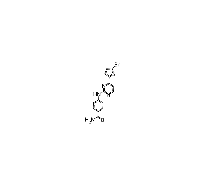 NC(=O)c1ccc(Nc2nccc(-c3ccc(Br)s3)n2)cc1